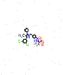 Cc1c(-c2cc(Cl)cc(Cl)c2)nn(Cc2ccc(C(=O)NC(C)C(=O)O)cc2)c1-c1ccccc1